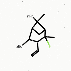 C=CC1C(CCCC)C2CC(C1(C)F)C2(C)CCC